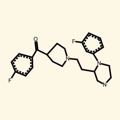 O=C(c1ccc(F)cc1)C1CCN(CCC2C[N]CCN2c2cccc(F)c2)CC1